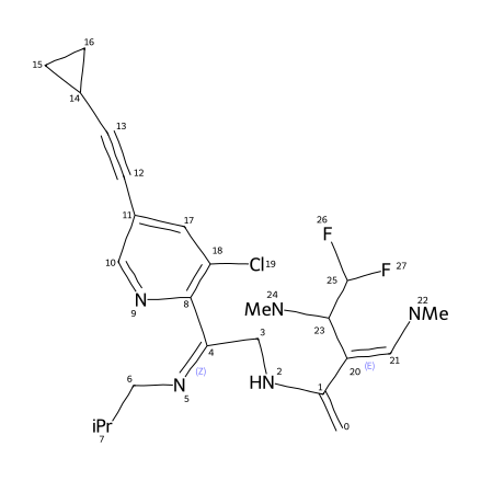 C=C(NC/C(=N/CC(C)C)c1ncc(C#CC2CC2)cc1Cl)/C(=C/NC)C(NC)C(F)F